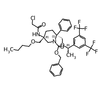 CCCCOC[C@@]1(NC(=O)CCl)CC[C@@](CO[C@H](C)c2cc(C(F)(F)F)cc(C(F)(F)F)c2)(c2ccccc2)N(C(=O)OCc2ccccc2)C1